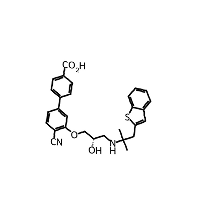 CC(C)(Cc1cc2ccccc2s1)NC[C@H](O)COc1cc(-c2ccc(C(=O)O)cc2)ccc1C#N